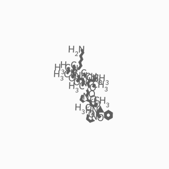 CC[C@H](C)[C@@H]([C@@H](CC(=O)N1CCC[C@H]1[C@H](OC)[C@@H](C)C(=O)N[C@@]1(C(=O)N2CCCCO2)C[C@@H]1c1ccccc1)OC)N(C)[C@H](C(=O)NC(=O)[C@H](C(C)C)N(C)CCCCCCN)C(C)C